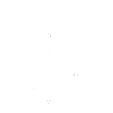 COC(=O)Cc1ccc(OCc2ccc3ccccc3n2)cc1CC(C)C